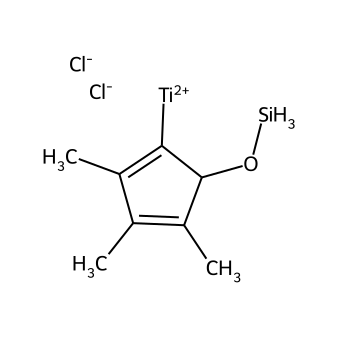 CC1=C(C)C(O[SiH3])[C]([Ti+2])=C1C.[Cl-].[Cl-]